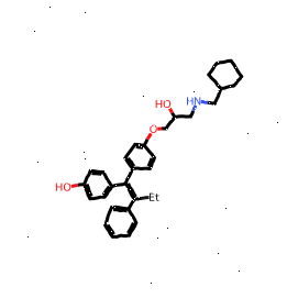 CCC(=C(c1ccc(O)cc1)c1ccc(OCC(O)CNCC2CCCCC2)cc1)c1ccccc1